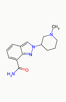 CN1CCCC(n2cc3cccc(C(N)=O)c3n2)C1